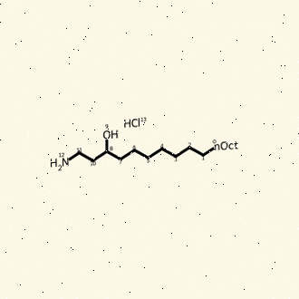 CCCCCCCCCCCCCCCC(O)CCN.Cl